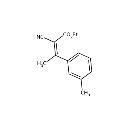 CCOC(=O)/C(C#N)=C(/C)c1cccc(C)c1